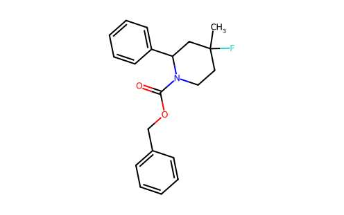 CC1(F)CCN(C(=O)OCc2ccccc2)C(c2ccccc2)C1